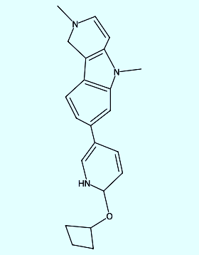 CN1C=Cc2c(c3ccc(C4=CNC(OC5CCC5)C=C4)cc3n2C)C1